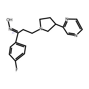 O/N=C(\CCN1CCC(c2cnccn2)C1)c1ccc(F)cc1